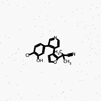 CC(C)(C#N)c1occc1-c1ccncc1-c1ccc(Cl)c(O)c1